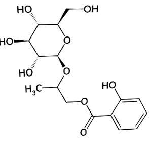 CC(COC(=O)c1ccccc1O)O[C@@H]1O[C@H](CO)[C@@H](O)[C@H](O)[C@H]1O